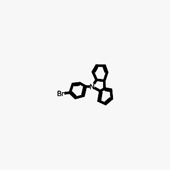 Brc1ccc(N2c3ccccc3C3C=CC=CC32)cc1